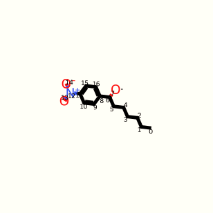 CCCCCCC([O])c1ccc([N+](=O)[O-])cc1